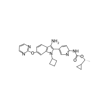 C[C@@H](OC(=O)Nc1ccc(-c2c(N)c3ccc(Oc4ncccn4)cc3n2C2CCC2)cn1)C1CC1